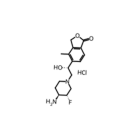 Cc1c([C@@H](O)CN2CC[C@H](N)[C@@H](F)C2)ccc2c1COC2=O.Cl